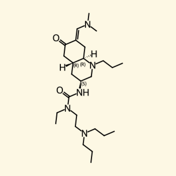 CCCN(CCC)CCN(CC)C(=O)N[C@H]1C[C@@H]2CC(=O)C(=CN(C)C)C[C@H]2N(CCC)C1